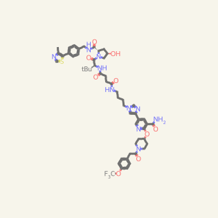 Cc1ncsc1-c1ccc(CNC(=O)[C@@H]2C[C@@H](O)CN2C(=O)[C@@H](NC(=O)CCC(=O)NCCCCn2cnc(-c3cnc(OC4CCN(C(=O)Cc5ccc(OC(F)(F)F)cc5)CC4)c(C(N)=O)c3)c2)C(C)(C)C)cc1